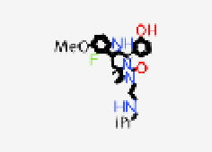 C=C1N(CCCNCC(C)C)C(=O)N2[C@H](c3cccc(O)c3)c3[nH]c4ccc(OC)c(F)c4c3C[C@@]12C